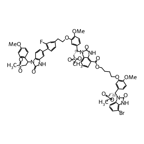 COc1ccc(C(CS(C)(=O)=O)n2c(=O)[nH]c3cc(-c4ccc(CCOc5cc([C@@H](CS(C)(=O)=O)n6c(=O)[nH]c7c(C(=O)OCCCCOc8cc([C@@H](CS(C)(=O)=O)n9c(=O)[nH]c%10c(Br)cccc%109)ccc8OC)cccc76)ccc5OC)cc4F)ccc32)cc1